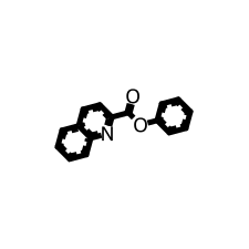 O=C(Oc1ccccc1)c1ccc2ccccc2n1